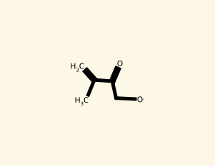 C=C(C)C(=O)C[O]